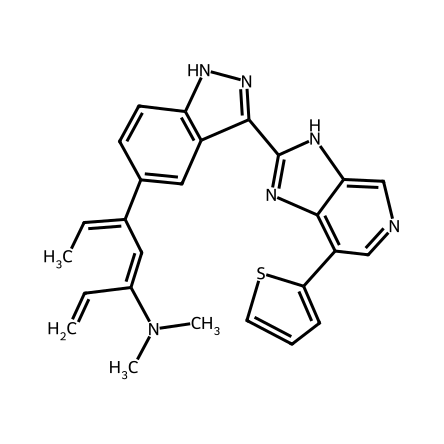 C=C/C(=C\C(=C/C)c1ccc2[nH]nc(-c3nc4c(-c5cccs5)cncc4[nH]3)c2c1)N(C)C